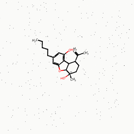 C=C(C)C1CC[C@](C)(O)C2Oc3cc(CCCCC)cc(O)c3C12